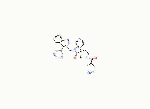 O=C(C1CCNCC1)N1CCC2(CC1)C(=O)N(Cc1ncc3ccccc3c1-c1cncnc1)c1cnccc12